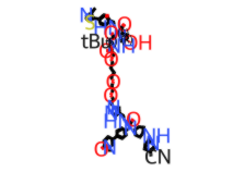 Cc1ncsc1-c1ccc(CNC(=O)[C@@H]2C[C@@H](O)CN2C(=O)[C@@H](NC(=O)COCCCCOCCOCCn2cc(CNC(=O)N(c3ccc(-c4ccc(=O)n(C)c4)cc3)[C@H]3CC[C@H](Nc4ccc(C#N)cn4)CC3)cn2)C(C)(C)C)cc1